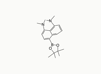 CN(C)c1cccc2c(B3OC(C)(C)C(C)(C)O3)ccc(N(C)C)c12